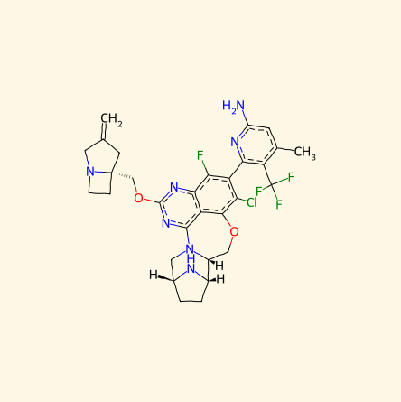 C=C1CN2CC[C@]2(COc2nc3c4c(c(Cl)c(-c5nc(N)cc(C)c5C(F)(F)F)c(F)c4n2)OC[C@@H]2[C@@H]4CC[C@H](CN32)N4)C1